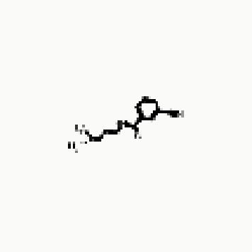 CN(C)CCCNC(=O)c1cccc(C#N)c1